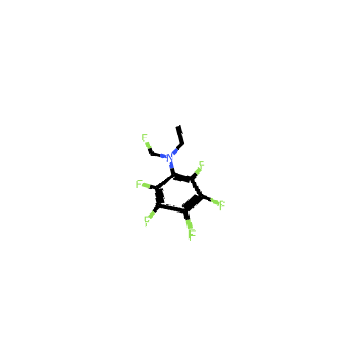 CCN(CF)c1c(F)c(F)c(F)c(F)c1F